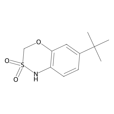 CC(C)(C)c1ccc2c(c1)OCS(=O)(=O)N2